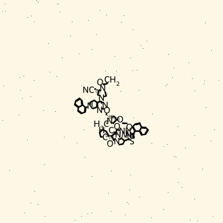 C=CC(=O)N1CCN(c2nc(OC[C@@H]3C[C@@H](OCCOc4ccc5ccccc5c4-c4csc(C5CCN(C(=O)[C@@H](C6CCCCC6)[C@](C)(NC)C(N)=O)C5)n4)CN3C)nc3c2CCN(c2cccc4ccccc24)C3)C[C@@H]1CC#N